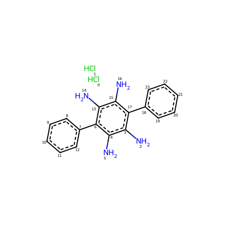 Cl.Cl.Nc1c(N)c(-c2ccccc2)c(N)c(N)c1-c1ccccc1